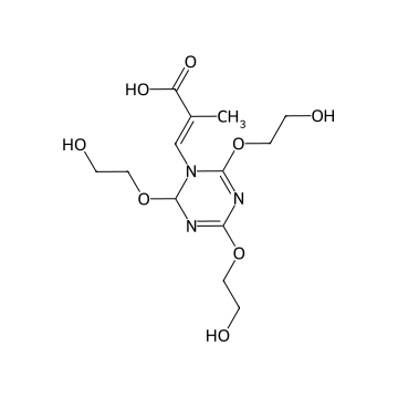 CC(=CN1C(OCCO)=NC(OCCO)=NC1OCCO)C(=O)O